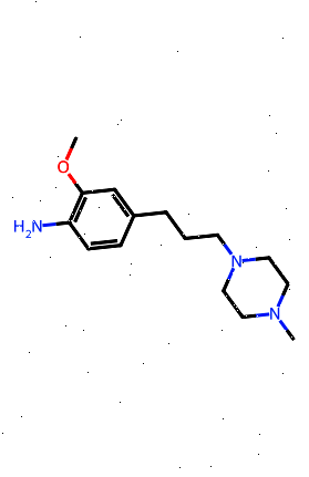 COc1cc(CCCN2CCN(C)CC2)ccc1N